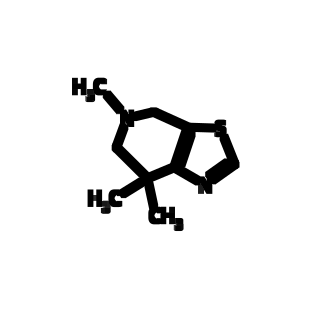 CN1Cc2scnc2C(C)(C)C1